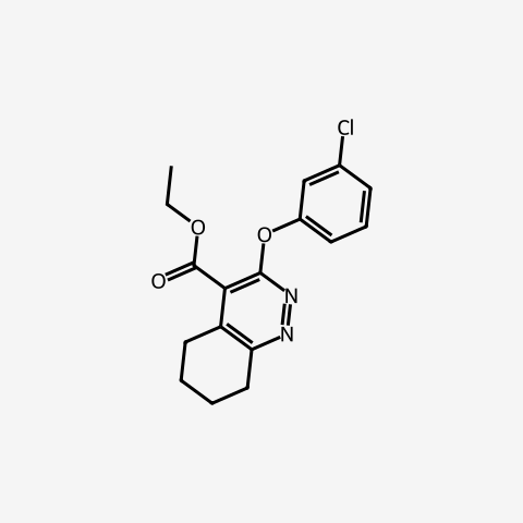 CCOC(=O)c1c(Oc2cccc(Cl)c2)nnc2c1CCCC2